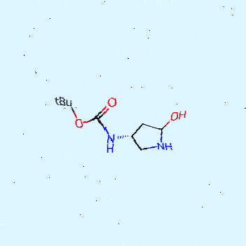 CC(C)(C)OC(=O)N[C@H]1CNC(O)C1